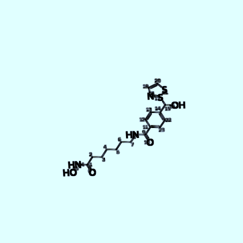 O=C(CCCCCCNC(=O)c1ccc(C(O)S2=NC=CS2)cc1)NO